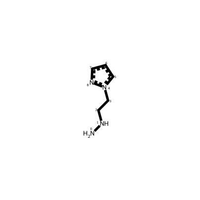 NNCCn1cccn1